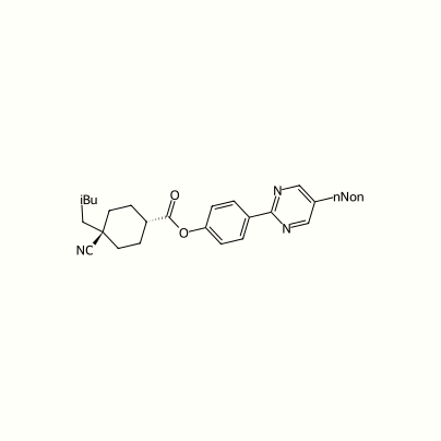 CCCCCCCCCc1cnc(-c2ccc(OC(=O)[C@H]3CC[C@@](C#N)(CC(C)CC)CC3)cc2)nc1